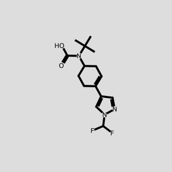 CC(C)(C)N(C(=O)O)C1CC=C(c2cnn(C(F)F)c2)CC1